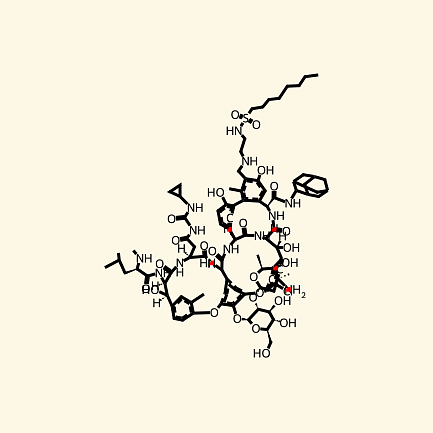 CCCCCCCCS(=O)(=O)NCCNCc1c(O)cc2c(c1C)-c1cc(ccc1O)[C@H]1NC(=O)[C@@H]3NC(=O)[C@H](CC(=O)NC(=O)NC4CC4)NC(=O)[C@H](NC(=O)[C@@H](CC(C)C)NC)[C@H](O)c4ccc(c(C)c4)Oc4cc3cc(c4O[C@@H]3O[C@H](CO)[C@@H](O)[C@H](O)[C@H]3O[C@H]3C[C@](C)(N)[C@H](O)[C@H](C)O3)Oc3ccc(cc3Cl)[C@@H](O)[C@H](NC1=O)C(=O)N[C@@H]2C(=O)NC1C2CC3CC(C2)CC1C3